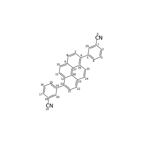 N#Cc1cccc(-c2ccc3ccc4c(-c5cccc(C#N)c5)ccc5ccc2c3c54)c1